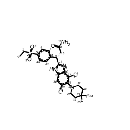 CCS(=O)(=O)c1ccc([C@H](CC(N)=O)c2nc3c(Cl)c(N4CCC(F)(F)CC4)c(Cl)cc3[nH]2)cc1